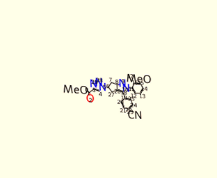 COC(=O)c1cn([C@@H]2Cc3nn(-c4ccccc4OC)c(-c4ccc(C#N)cc4)c3C2)nn1